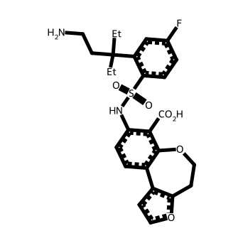 CCC(CC)(CCN)c1cc(F)ccc1S(=O)(=O)Nc1ccc2c(c1C(=O)O)OCCc1occc1-2